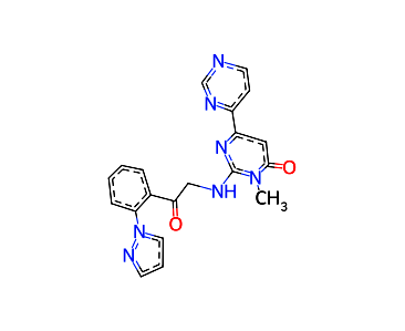 Cn1c(NCC(=O)c2ccccc2-n2cccn2)nc(-c2ccncn2)cc1=O